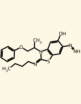 CCCCN=c1sc2cc(N=N)c(O)cc2n1C(C)COc1ccccc1